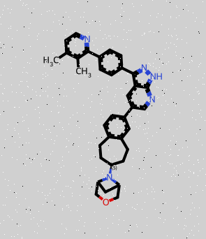 Cc1ccnc(-c2ccc(-c3n[nH]c4ncc(-c5ccc6c(c5)CC[C@@H](N5C7COCC5C7)CC6)cc34)cc2)c1C